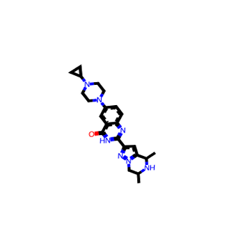 CC1Cn2nc(-c3nc4ccc(N5CCN(C6CC6)CC5)cc4c(=O)[nH]3)cc2C(C)N1